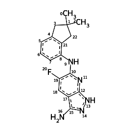 CC1(C)Cc2cccc(Nc3nc4[nH]nc(N)c4cc3F)c2C1